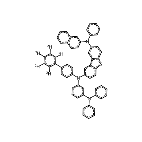 [2H]c1c([2H])c([2H])c(-c2ccc(N(c3cccc(N(c4ccccc4)c4ccccc4)c3)c3ccc4sc5ccc(N(c6ccccc6)c6ccc7ccccc7c6)cc5c4c3)cc2)c([2H])c1[2H]